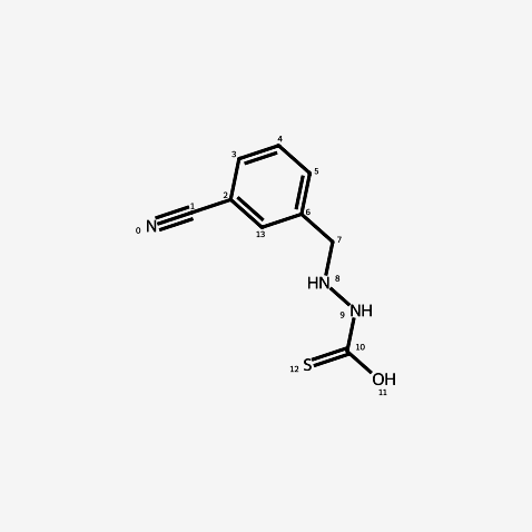 N#Cc1cccc(CNNC(O)=S)c1